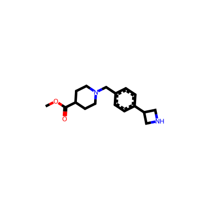 COC(=O)C1CCN(Cc2ccc(C3CNC3)cc2)CC1